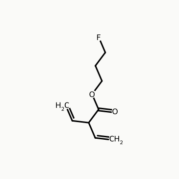 C=CC(C=C)C(=O)OCCCF